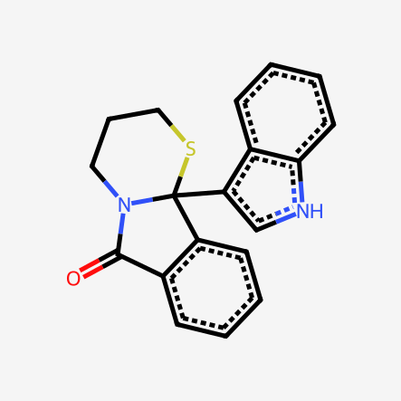 O=C1c2ccccc2C2(c3c[nH]c4ccccc34)SCCCN12